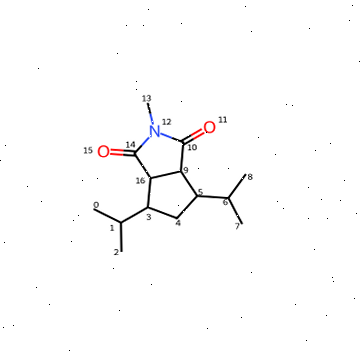 CC(C)C1CC(C(C)C)C2C(=O)N(C)C(=O)C12